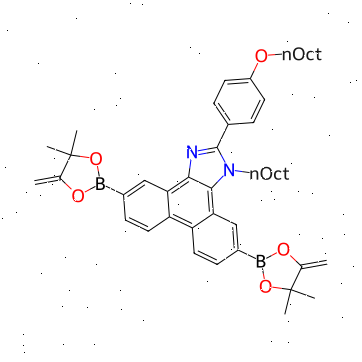 C=C1OB(c2ccc3c4ccc(B5OC(=C)C(C)(C)O5)cc4c4c(nc(-c5ccc(OCCCCCCCC)cc5)n4CCCCCCCC)c3c2)OC1(C)C